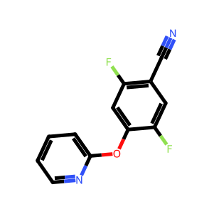 N#Cc1cc(F)c(Oc2ccccn2)cc1F